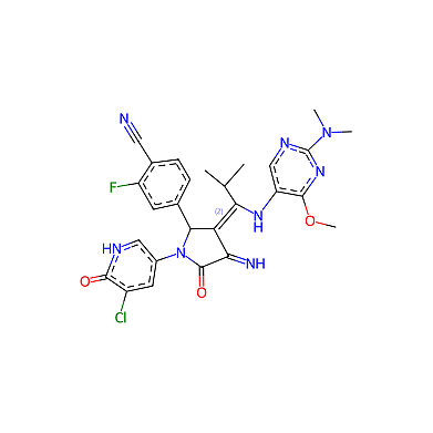 COc1nc(N(C)C)ncc1N/C(=C1\C(=N)C(=O)N(c2c[nH]c(=O)c(Cl)c2)C1c1ccc(C#N)c(F)c1)C(C)C